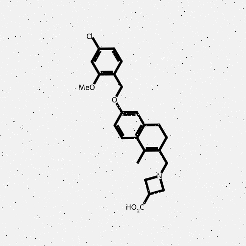 COc1cc(Cl)ccc1COc1ccc2c(c1)CCC(CN1CC(C(=O)O)C1)=C2C